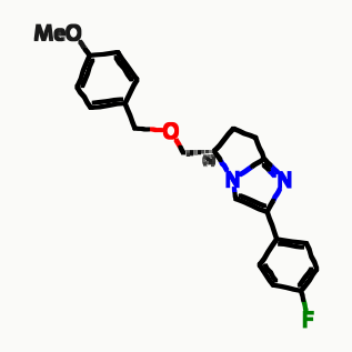 COc1ccc(COC[C@@H]2CCc3nc(-c4ccc(F)cc4)cn32)cc1